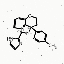 Cc1ccc([C@@]2(NC(=O)c3ncc[nH]3)CCOc3cccnc32)cc1